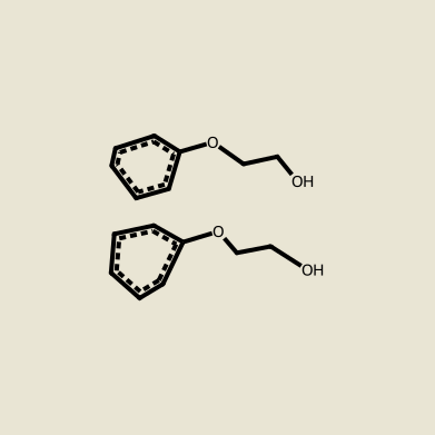 OCCOc1ccccc1.OCCOc1ccccc1